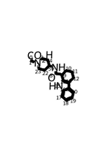 O=C(O)CN1CCC(NC(=O)C2CCCc3c2[nH]c2ccccc32)CC1